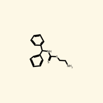 NCCSC(=S)NC(c1ccccc1)c1ccccc1